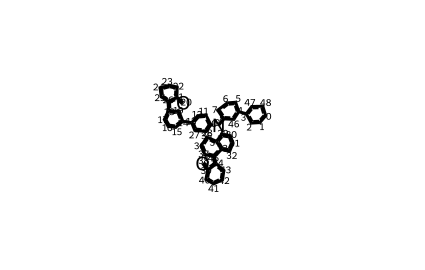 c1ccc(-c2cccc(N(c3ccc(-c4cccc5c4oc4ccccc45)cc3)c3cccc4c3ccc3oc5ccccc5c34)c2)cc1